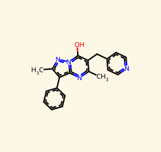 Cc1nc2c(-c3ccccc3)c(C)nn2c(O)c1Cc1ccncc1